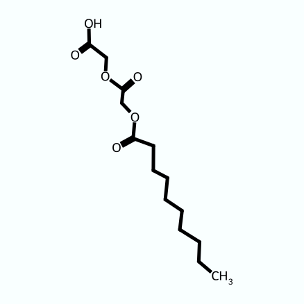 CCCCCCCCCC(=O)OCC(=O)OCC(=O)O